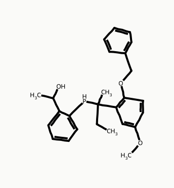 CCC(C)(Pc1ccccc1C(C)O)c1cc(OC)ccc1OCc1ccccc1